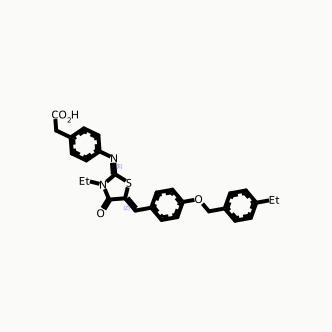 CCc1ccc(COc2ccc(/C=C3\S/C(=N/c4ccc(CC(=O)O)cc4)N(CC)C3=O)cc2)cc1